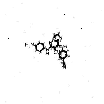 Cc1c(N[C@H]2CC[C@H](N)CC2)nn2ccnc2c1Nc1ccc(C#N)cc1